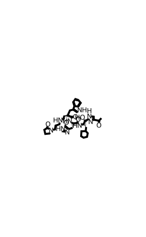 CC(=O)c1c[nH]c([C@H](O)[C@H](CC2CCCCC2)NC(=O)[C@H](Cc2c[nH]cn2)NC(=O)[C@@H](CC(=O)NCCCN2CCCC2=O)Cc2c[nH]c3ccccc23)n1